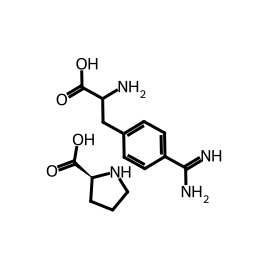 N=C(N)c1ccc(CC(N)C(=O)O)cc1.O=C(O)[C@@H]1CCCN1